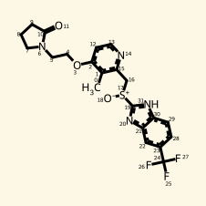 Cc1c(OCCN2CCCC2=O)ccnc1C[S+]([O-])c1nc2cc(C(F)(F)F)ccc2[nH]1